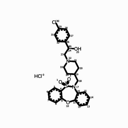 Cl.O=S1(=O)c2ccccc2Oc2ccccc2N1CC1CCN(C[C@H](O)c2ccc(Cl)cc2)CC1